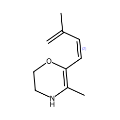 C=C(C)/C=C\C1=C(C)NCCO1